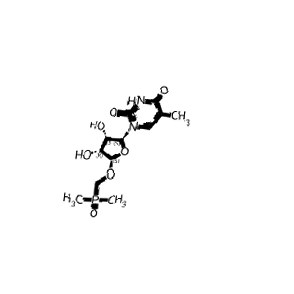 Cc1cn([C@H]2O[C@@H](OCP(C)(C)=O)[C@H](O)[C@@H]2O)c(=O)[nH]c1=O